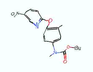 Cc1cc(N(C)C(=O)OC(C)(C)C)ccc1Oc1ccc([N+](=O)[O-])cn1